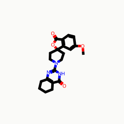 COc1ccc2c(c1)C1(CCN(c3nc4c(c(=O)[nH]3)CCCC4)CC1)OC2=O